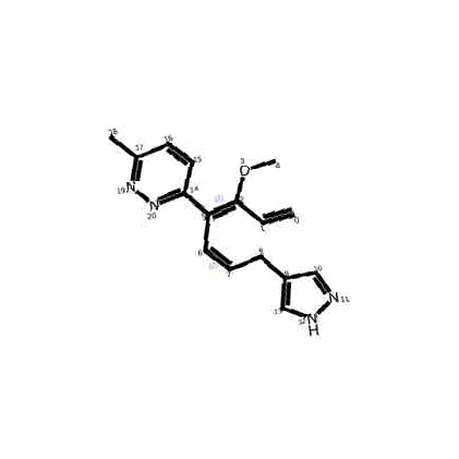 C=C/C(OC)=C(\C=C/Cc1cn[nH]c1)c1ccc(C)nn1